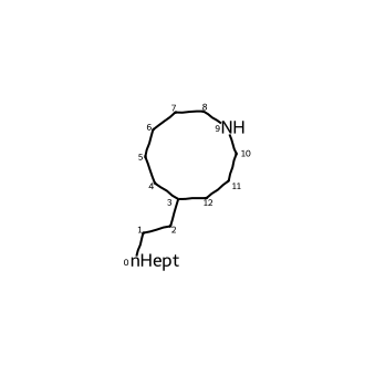 CCCCCCCCCC1CCCCCNCCC1